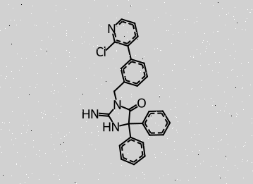 N=C1NC(c2ccccc2)(c2ccccc2)C(=O)N1Cc1cccc(-c2cccnc2Cl)c1